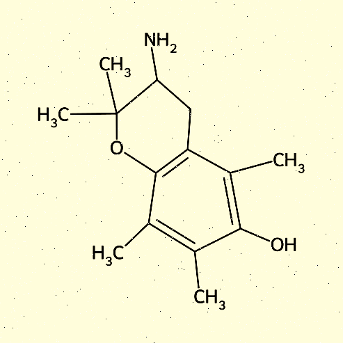 Cc1c(C)c2c(c(C)c1O)CC(N)C(C)(C)O2